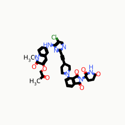 CC(=O)COc1cc2cc(Nc3nc(C#CC4CCN(c5cccc6c5C(=O)N(C5CCC(=O)NC5=O)C6=O)CC4)ncc3Cl)ccc2n(C)c1=O